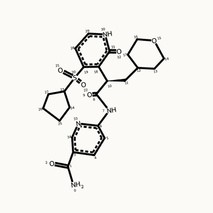 NC(=O)c1ccc(NC(=O)[C@H](CC2CCOCC2)c2c(S(=O)(=O)C3CCCC3)cc[nH]c2=O)nc1